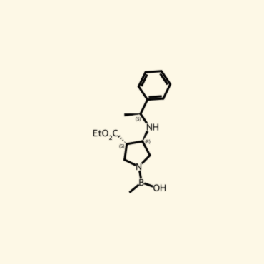 CCOC(=O)[C@H]1CN(B(C)O)C[C@@H]1N[C@@H](C)c1ccccc1